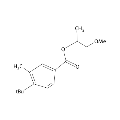 COCC(C)OC(=O)c1ccc(C(C)(C)C)c(C)c1